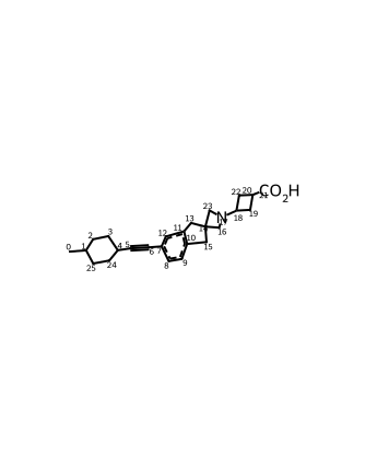 CC1CCC(C#Cc2ccc3c(c2)CC2(C3)CN(C3CC(C(=O)O)C3)C2)CC1